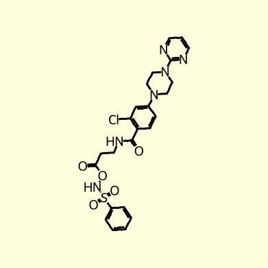 O=C(CCNC(=O)c1ccc(N2CCN(c3ncccn3)CC2)cc1Cl)ONS(=O)(=O)c1ccccc1